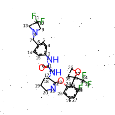 O=C(Nc1ccc(CN2CC(F)(F)C2)cc1)NC1CCCN=C1Oc1ccccc1C1(C(F)(F)F)CCO1